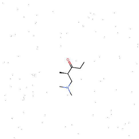 CCC(=O)[C@H](C)CN(C)C